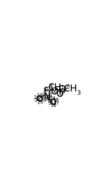 CCOC(=O)COC(C)C(F)CN(Cc1ccccc1)Cc1ccccc1